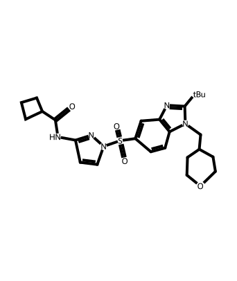 CC(C)(C)c1nc2cc(S(=O)(=O)n3ccc(NC(=O)C4CCC4)n3)ccc2n1CC1CCOCC1